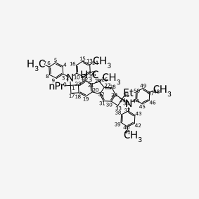 CCCC1(N(c2ccc(C)cc2)c2ccc(C)cc2)Cc2cc3c(cc21)C(C)(C)c1cc2c(cc1-3)CC2(CC)N(c1ccc(C)cc1)c1ccc(C)cc1